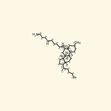 CC(=O)OC1CC[C@]2(C)[C@H]3CC[C@]4(C)[C@@H]([C@H](C)CCCC(C)C)CC[C@H]4[C@@H]3CC(NCCCCNCCCN)C2(O)C1